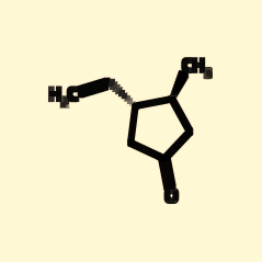 C=C[C@H]1CC(=O)C[C@@H]1C